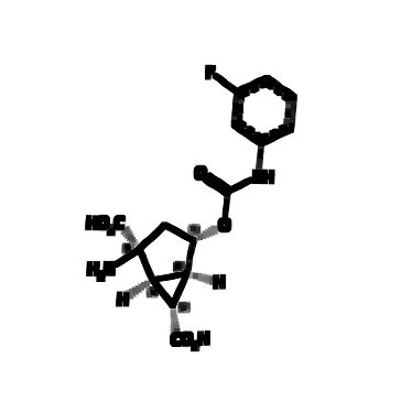 N[C@@]1(C(=O)O)C[C@H](OC(=O)Nc2cccc(F)c2)[C@H]2[C@H](C(=O)O)[C@H]21